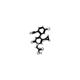 N#Cc1ccc(Cl)cc1-c1cc(=O)n(CC(=O)O)cc1C1CC1